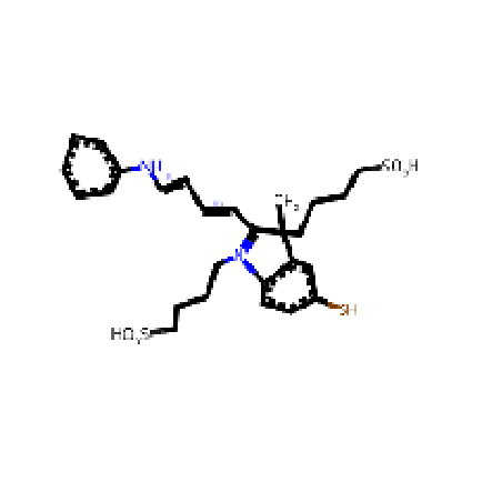 CC1(CCCCS(=O)(=O)O)C(/C=C/C=C/Nc2ccccc2)=[N+](CCCCS(=O)(=O)O)c2ccc(S)cc21